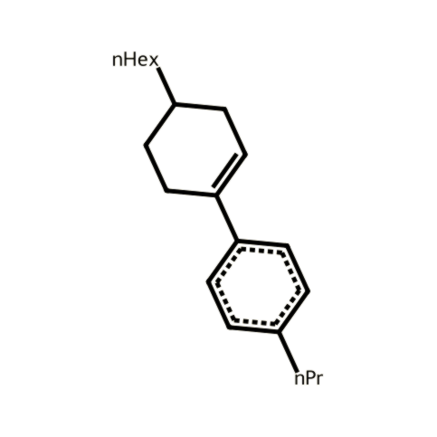 CCCCCCC1CC=C(c2ccc(CCC)cc2)CC1